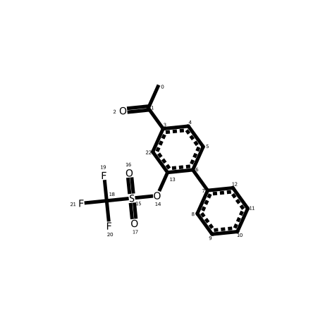 CC(=O)c1ccc(-c2ccccc2)c(OS(=O)(=O)C(F)(F)F)c1